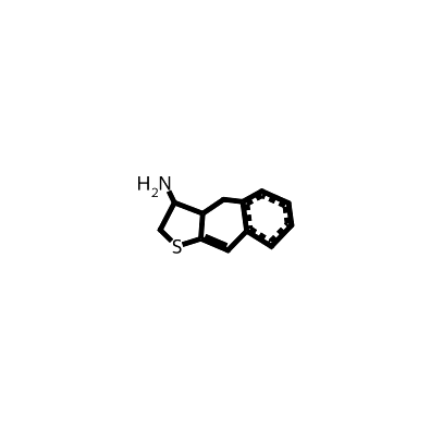 NC1CSC2=Cc3ccccc3CC21